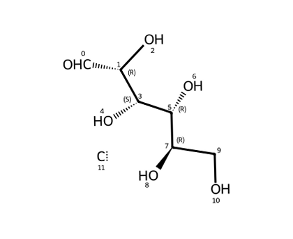 O=[13CH][C@H](O)[C@@H](O)[C@H](O)[C@H](O)CO.[C]